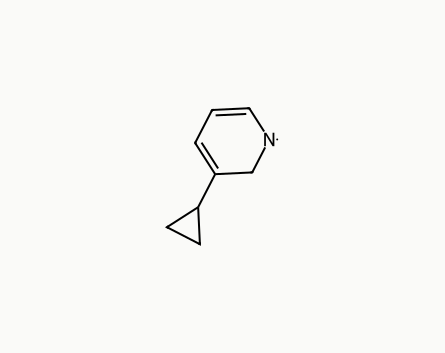 C1=C[N]CC(C2CC2)=C1